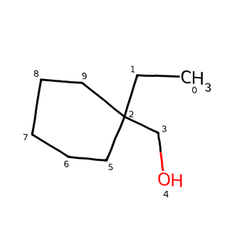 CCC1(CO)CCCCC1